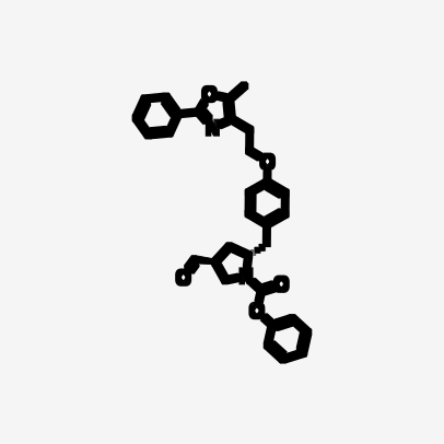 Cc1oc(-c2ccccc2)nc1CCOc1ccc(C[C@H]2C[C@H](C=O)CN2C(=O)Oc2ccccc2)cc1